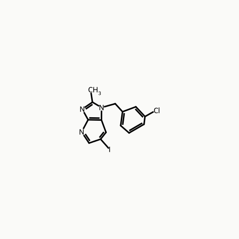 Cc1nc2ncc(I)cc2n1Cc1cccc(Cl)c1